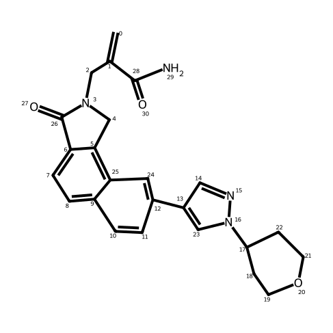 C=C(CN1Cc2c(ccc3ccc(-c4cnn(C5CCOCC5)c4)cc23)C1=O)C(N)=O